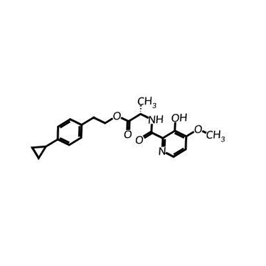 COc1ccnc(C(=O)N[C@@H](C)C(=O)OCCc2ccc(C3CC3)cc2)c1O